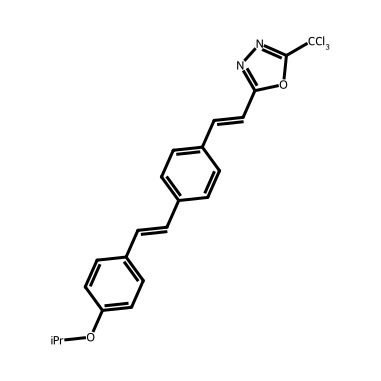 CC(C)Oc1ccc(C=Cc2ccc(C=Cc3nnc(C(Cl)(Cl)Cl)o3)cc2)cc1